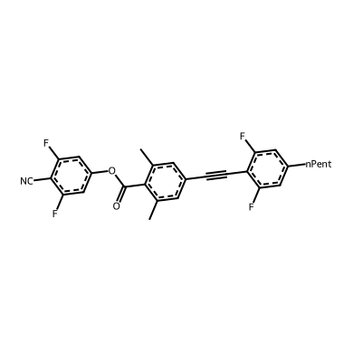 CCCCCc1cc(F)c(C#Cc2cc(C)c(C(=O)Oc3cc(F)c(C#N)c(F)c3)c(C)c2)c(F)c1